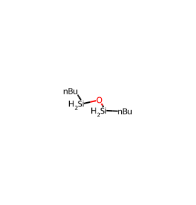 CCCC[SiH2]O[SiH2]CCCC